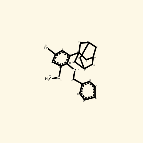 COc1cc(Br)cc(C23CC4CC(CC(C4)C2)C3)c1OCc1ccccc1